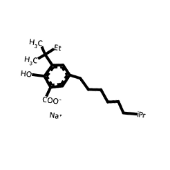 CCC(C)(C)c1cc(CCCCCCC(C)C)cc(C(=O)[O-])c1O.[Na+]